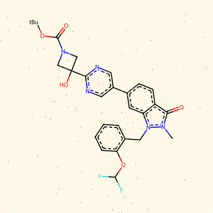 Cn1c(=O)c2ccc(-c3cnc(C4(O)CN(C(=O)OC(C)(C)C)C4)nc3)cc2n1Cc1ccccc1OC(F)F